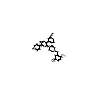 COc1cccc(-c2cnc(C3=CCNC=C3)nc2C2CCN(Cc3cc(Cl)ccc3O)CC2)c1